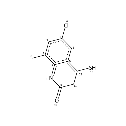 Cc1cc(Cl)cc2c1=NC(=O)CC=2S